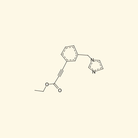 CCOC(=O)C#Cc1cccc(Cn2ccnc2)c1